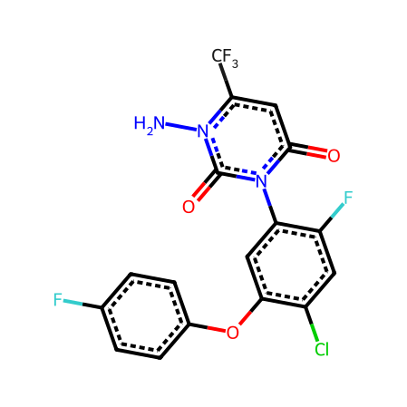 Nn1c(C(F)(F)F)cc(=O)n(-c2cc(Oc3ccc(F)cc3)c(Cl)cc2F)c1=O